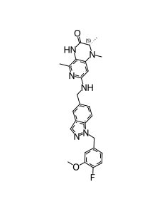 COc1cc(Cn2ncc3cc(CNc4cc5c(c(C)n4)NC(=O)[C@H](C)N5C)ccc32)ccc1F